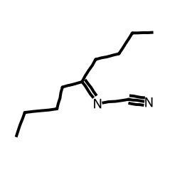 CCCCC(CCCC)=NC#N